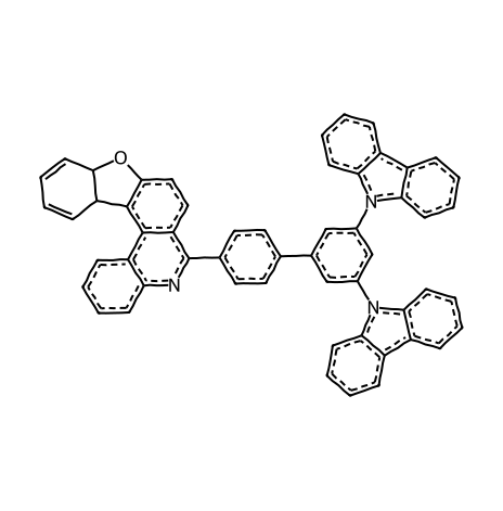 C1=CC2Oc3ccc4c(-c5ccc(-c6cc(-n7c8ccccc8c8ccccc87)cc(-n7c8ccccc8c8ccccc87)c6)cc5)nc5ccccc5c4c3C2C=C1